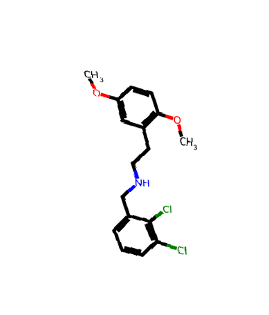 COc1ccc(OC)c(CCNCc2cccc(Cl)c2Cl)c1